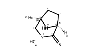 Cl.S=C1NC[C@H]2CC[C@@H]1N2